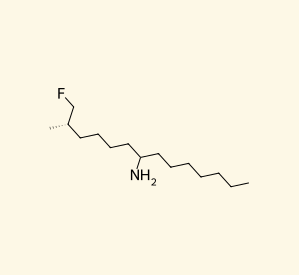 CCCCCCCC(N)CCCC[C@H](C)CF